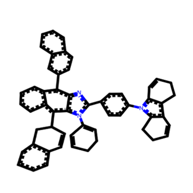 C1=CC(n2c(-c3ccc(-n4c5c(c6c4CCC=C6)CCC=C5)cc3)nc3c(-c4ccc5ccccc5c4)c4ccccc4c(C4C=Cc5ccccc5C4)c32)=CCC1